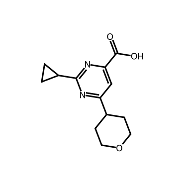 O=C(O)c1cc(C2CCOCC2)nc(C2CC2)n1